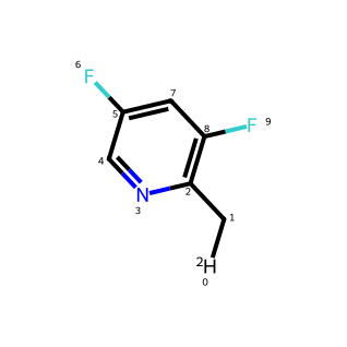 [2H]Cc1ncc(F)cc1F